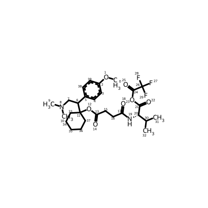 COc1ccc(C(CN(C)C)C2(OC(=O)CCC(=O)N[C@H](C(=O)OC(=O)C(F)(F)F)C(C)C)CCCCC2)cc1